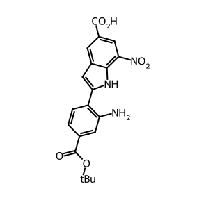 CC(C)(C)OC(=O)c1ccc(-c2cc3cc(C(=O)O)cc([N+](=O)[O-])c3[nH]2)c(N)c1